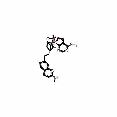 CNc1ccc2ccc(CC[C@]34C[C@@H](n5ccc6c(N)ncnc65)[C@@]5(C3)OC(C)(C)O[C@H]45)cc2n1